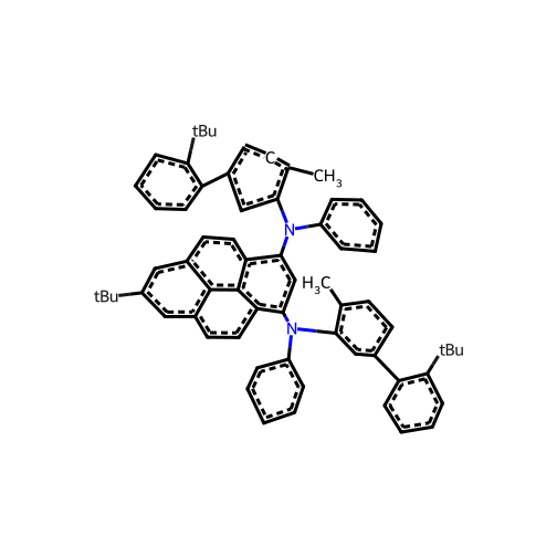 Cc1ccc(-c2ccccc2C(C)(C)C)cc1N(c1ccccc1)c1cc(N(c2ccccc2)c2cc(-c3ccccc3C(C)(C)C)ccc2C)c2ccc3cc(C(C)(C)C)cc4ccc1c2c43